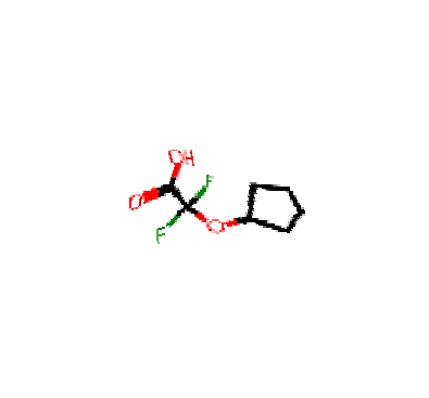 O=C(O)C(F)(F)OC1CCCC1